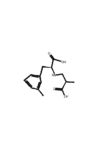 Cc1cccc(C[C@H](NCC(C)C(=O)O)C(=O)O)c1